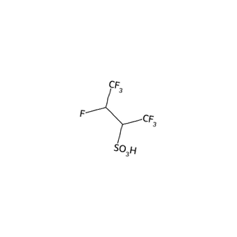 O=S(=O)(O)C(C(F)C(F)(F)F)C(F)(F)F